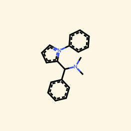 CN(C)C(c1ccccc1)c1cccn1-c1ccccc1